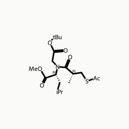 COC(=O)[C@@H](CC(C)C)N(CC(=O)OC(C)(C)C)C(=O)[C@@H](C)CSC(C)=O